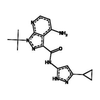 CC(C)(C)n1nc(C(=O)Nc2cc(C3CC3)n[nH]2)c2c(N)ccnc21